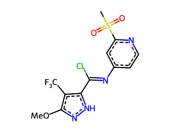 COc1n[nH]c(C(Cl)=Nc2ccnc(S(C)(=O)=O)c2)c1C(F)(F)F